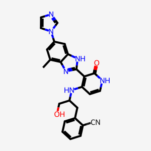 Cc1cc(-n2ccnc2)cc2[nH]c(-c3c(NC(CO)Cc4ccccc4C#N)cc[nH]c3=O)nc12